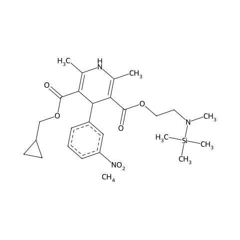 C.CC1=C(C(=O)OCCN(C)[Si](C)(C)C)C(c2cccc([N+](=O)[O-])c2)C(C(=O)OCC2CC2)=C(C)N1